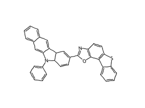 C1=CC2C(C=C1c1nc3ccc4sc5ccccc5c4c3o1)c1cc3ccccc3cc1N2c1ccccc1